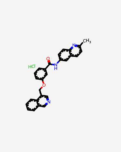 Cc1ccc2cc(NC(=O)c3cccc(OCc4cncc5ccccc45)c3)ccc2n1.Cl